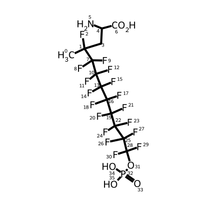 CC(F)(CC(N)C(=O)O)C(F)(F)C(F)(F)C(F)(F)C(F)(F)C(F)(F)C(F)(F)C(F)(F)C(F)(F)OP(=O)(O)O